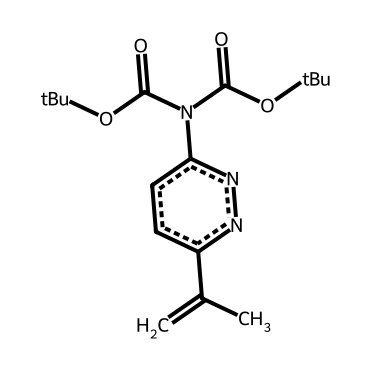 C=C(C)c1ccc(N(C(=O)OC(C)(C)C)C(=O)OC(C)(C)C)nn1